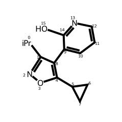 CC(C)c1noc(C2CC2)c1-c1cccnc1O